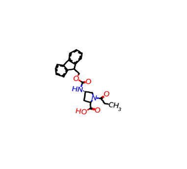 CCC(=O)N1C[C@@H](NC(=O)OCC2c3ccccc3-c3ccccc32)CC1C(=O)O